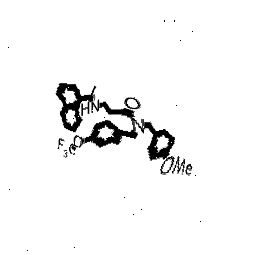 COc1ccc(CN(Cc2ccc(OC(F)(F)F)cc2)C(=O)CCN[C@H](C)c2cccc3ccccc23)cc1